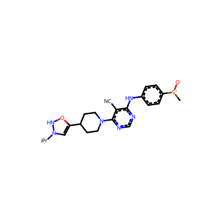 CC(C)N1C=C(C2CCN(c3ncnc(Nc4ccc([S+](C)[O-])cc4)c3C#N)CC2)ON1